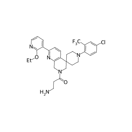 CCOc1ncccc1-c1ccc2c(n1)CN(C(=O)CCN)CC21CCN(c2ccc(Cl)cc2C(F)(F)F)CC1